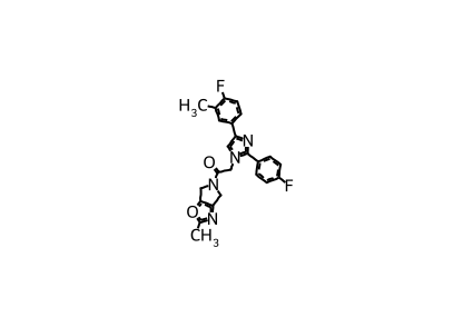 Cc1nc2c(o1)CN(C(=O)Cn1cc(-c3ccc(F)c(C)c3)nc1-c1ccc(F)cc1)C2